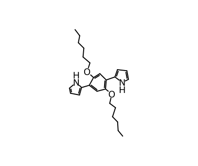 CCCCCCOc1cc(-c2ccc[nH]2)c(OCCCCCC)cc1-c1ccc[nH]1